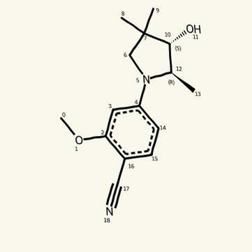 COc1cc(N2CC(C)(C)[C@H](O)[C@H]2C)ccc1C#N